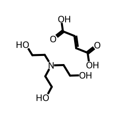 O=C(O)/C=C/C(=O)O.OCCN(CCO)CCO